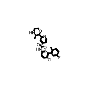 Cc1ccc(F)cc1-c1nc(NS(=O)(=O)c2ccnc(C3OCCNC3C)c2)ccc1Cl